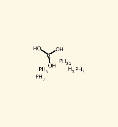 OB(O)O.P.P.P.P.P